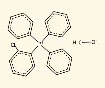 C[O-].Clc1ccccc1[P+](c1ccccc1)(c1ccccc1)c1ccccc1